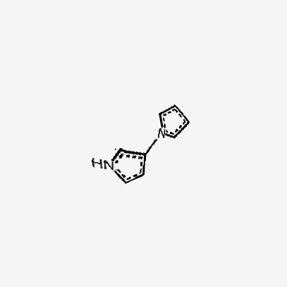 [c]1[nH]ccc1-n1cccc1